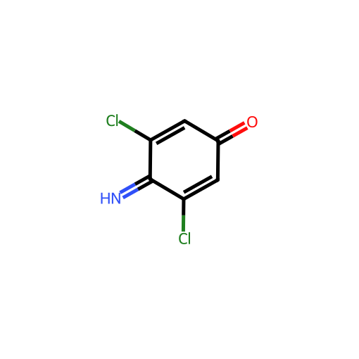 N=C1C(Cl)=CC(=O)C=C1Cl